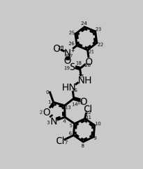 Cc1onc(-c2c(Cl)cccc2Cl)c1C(=O)NNC(=S)Oc1ccccc1[N+](=O)[O-]